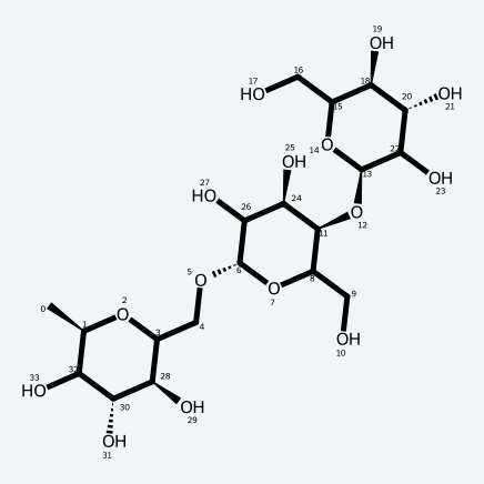 C[C@H]1OC(CO[C@H]2OC(CO)[C@H](O[C@H]3OC(CO)[C@@H](O)[C@H](O)C3O)[C@H](O)C2O)[C@@H](O)[C@H](O)C1O